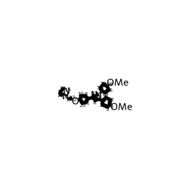 COc1ccc(-c2cc(-c3ccc(OCCn4cccn4)cc3)nn2-c2ccc(OC)cc2)cc1